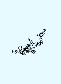 C[C@H]1CN(c2ncc(F)c(OCc3ccc(Cl)cc3F)n2)CCN1Cc1nc2cc(-c3nnc(C(F)(F)F)[nH]3)ncc2n1C[C@@H]1CCO1